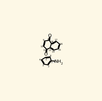 Nc1ccccc1.O=C1C=CC(=O)c2ccccc21